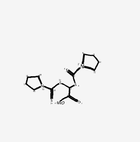 COC(=O)C(SC(=S)N1CCCC1)SC(=S)N1CCCC1